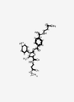 COC(=O)CCNC(=O)C1SC(=NC(=O)c2ccc(C(=N)NCCC(=O)O)cc2)N(C2CCCCC2)C1C.I